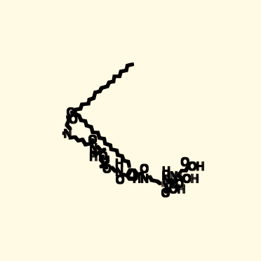 CCCCCCCCCCCCCCCCCCC1(CCCCCCCCCCCCCCCCCC)OCC(CCN(C)CCCCCC(=O)NCC(C)(CC)OCC(C)(CC)OCCNC(=O)c2ccc(C(=O)NCCCC[C@H](NC(=O)N[C@@H](CCC(=O)O)C(=O)O)C(=O)O)cc2)O1